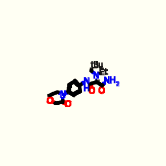 CCN(CC(C)(C)C)[C@H](C(N)=O)C(=O)Nc1ccc(N2CCOCC2=O)cc1